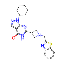 O=c1[nH]c(C2CN(Cc3nc4ccccc4s3)C2)nc2c1cnn2C1CCCCC1